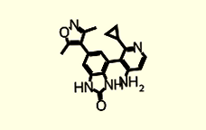 Cc1noc(C)c1-c1cc(-c2c(N)ccnc2C2CC2)c2[nH]c(=O)[nH]c2c1